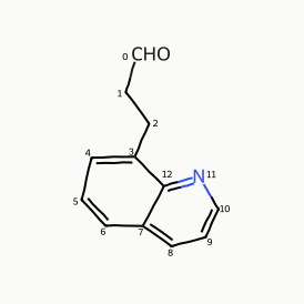 O=CCCc1cccc2cccnc12